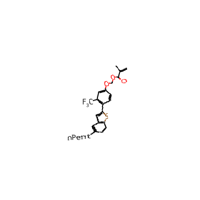 C=C(C)C(=O)OCOc1ccc(-c2cc3cc(CCCCC)ccc3s2)c(C(F)(F)F)c1